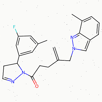 C=C(CCC(=O)N1N=CCC1c1cc(C)cc(F)c1)Cn1cc2cccc(C)c2n1